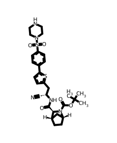 CC(C)(C)OC(=O)N1[C@@H]2CC[C@@H](C2)[C@H]1C(=O)N[C@H](C#N)Cc1ccc(-c2ccc(S(=O)(=O)N3CCNCC3)cc2)s1